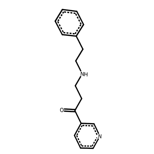 O=C(CCNCCc1ccccc1)c1cccnc1